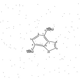 CC(C)(C)c1ccc(C(C)(C)C)c2c1C=CC2